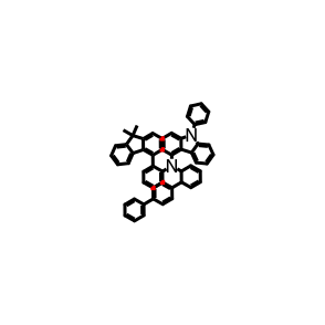 CC1(C)c2ccccc2-c2c(-c3ccccc3N(c3cccc4c3c3ccccc3n4-c3ccccc3)C3C=CC=CC3c3ccc(-c4ccccc4)cc3)cccc21